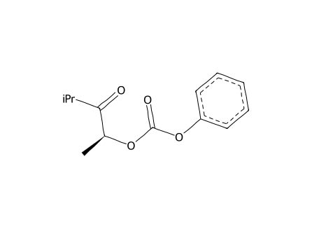 CC(C)C(=O)[C@H](C)OC(=O)Oc1ccccc1